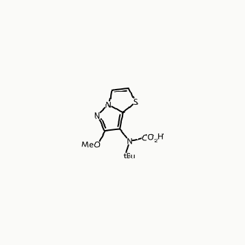 COc1nn2ccsc2c1N(C(=O)O)C(C)(C)C